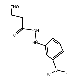 O=CCCC(=O)NNc1cccc(B(O)O)c1